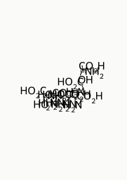 NCC(=O)O.NCC(=O)O.NCC(=O)O.NCC(=O)O.NCC(=O)O.NCC(=O)O.N[C@@H](CO)C(=O)O.N[C@@H](CO)C(=O)O